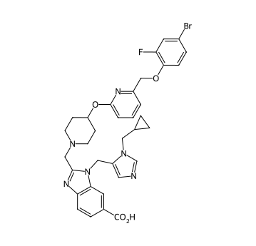 O=C(O)c1ccc2nc(CN3CCC(Oc4cccc(COc5ccc(Br)cc5F)n4)CC3)n(Cc3cncn3CC3CC3)c2c1